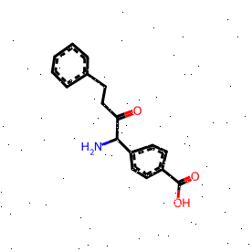 NC(C(=O)CCc1ccccc1)c1ccc(C(=O)O)cc1